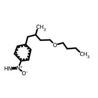 CCCCOCCC(C)Cc1ccc([N+](=N)[O-])cc1